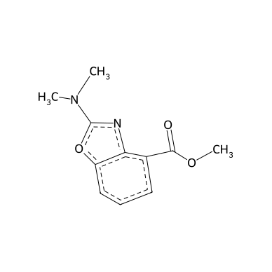 COC(=O)c1cccc2oc(N(C)C)nc12